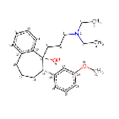 CCN(CC)CCC[C@]1(O)c2ccccc2CCC[C@H]1c1cccc(OC)c1